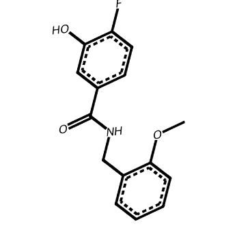 COc1ccccc1CNC(=O)c1ccc(F)c(O)c1